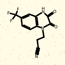 N#CCCn1c(=O)c(=O)[nH]c2cc(C(F)(F)F)ccc21